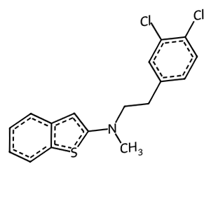 CN(CCc1ccc(Cl)c(Cl)c1)c1cc2ccccc2s1